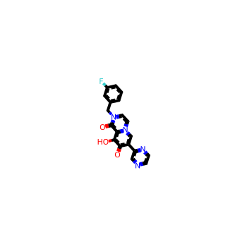 O=c1c(-c2cnccn2)cn2ccn(Cc3cccc(F)c3)c(=O)c2c1O